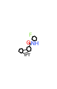 CC(C)c1ccccc1-c1cccc(C(=O)Nc2cccc(F)c2)c1